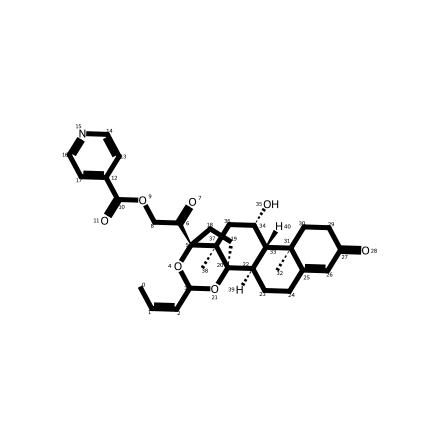 C/C=C\C1O[C@]2(C(=O)COC(=O)c3ccncc3)CC[C@@]3(O1)[C@@H]1CCC4=CC(=O)CC[C@]4(C)[C@H]1[C@@H](O)C[C@]23C